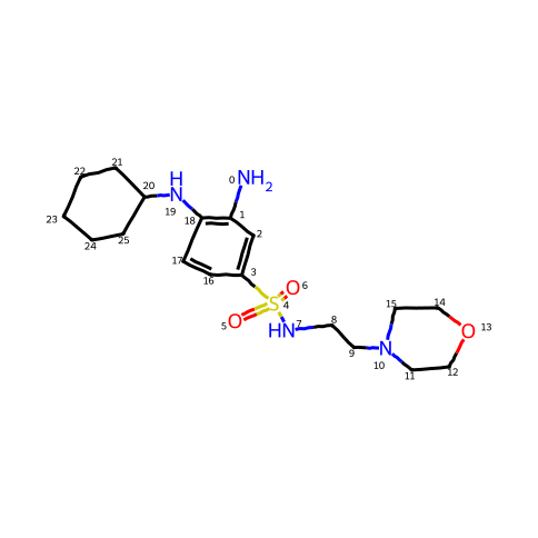 Nc1cc(S(=O)(=O)NCCN2CCOCC2)ccc1NC1CCCCC1